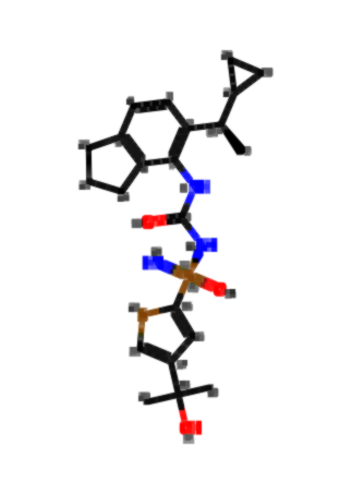 C[C@@H](c1ccc2c(c1NC(=O)N[S@@](=N)(=O)c1cc(C(C)(C)O)cs1)CCC2)C1CC1